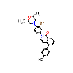 CC1CN(c2ccc(N3C=CC4=C(c5ccc(C#N)cc5)C=CCC4C3=O)cc2Br)CC(C)O1